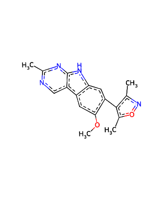 COc1cc2c(cc1-c1c(C)noc1C)[nH]c1nc(C)ncc12